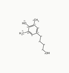 Cc1cc(CCCCO)cc(C)c1O